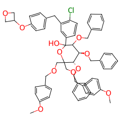 COc1ccc(COCC2(COCc3ccc(OC)cc3)OC(O)(c3ccc(Cl)c(Cc4ccc(OC5COC5)cc4)c3)C(OCc3ccccc3)[C@@H](OCc3ccccc3)[C@@H]2OCc2ccccc2)cc1